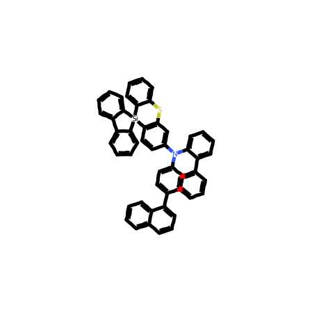 c1ccc(-c2ccccc2N(c2ccc(-c3cccc4ccccc34)cc2)c2ccc3c(c2)Sc2ccccc2[Si]32c3ccccc3-c3ccccc32)cc1